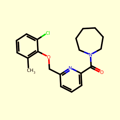 Cc1cccc(Cl)c1OCc1cccc(C(=O)N2CCCCCC2)n1